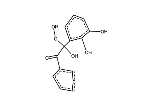 O=C(c1ccccc1)C(O)(OO)c1cccc(O)c1O